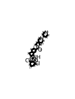 O=C(c1ccc2c(c1)[C@H](NS(=O)(=O)c1c(Cl)cccc1Cl)CC2)N1CCC2(CCN(c3ccncc3)CC2)C1